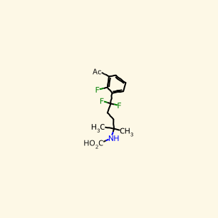 CC(=O)c1cccc(C(F)(F)CCC(C)(C)NC(=O)O)c1F